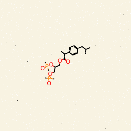 CC(C)Cc1ccc(C(C)C(=O)OCC(COP(C)(C)=O)OP(C)(C)=O)cc1